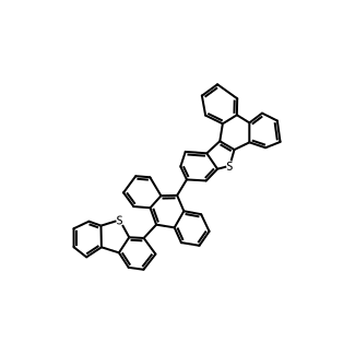 c1ccc2c(c1)sc1c(-c3c4ccccc4c(-c4ccc5c(c4)sc4c6ccccc6c6ccccc6c54)c4ccccc34)cccc12